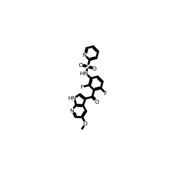 COc1cnc2[nH]cc(C(=O)c3c(F)ccc(NS(=O)(=O)c4ccccn4)c3F)c2c1